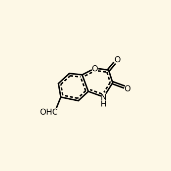 O=Cc1ccc2oc(=O)c(=O)[nH]c2c1